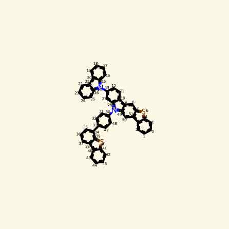 c1ccc2c(c1)sc1cc3c4ccc(-n5c6ccccc6c6ccccc65)cc4n(-c4ccc(-c5cccc6c5sc5ccccc56)cc4)c3cc12